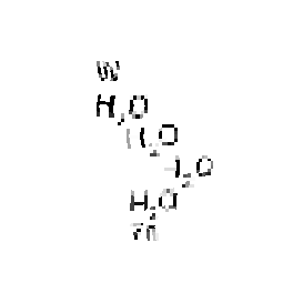 O.O.O.O.[W].[Zn]